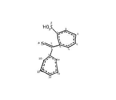 O=S(=O)(O)c1ccccc1[P](=S)c1ccccc1